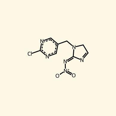 O=[N+]([O-])N=C1N=CCN1Cc1cnc(Cl)nc1